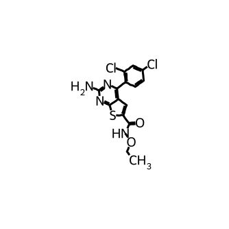 CCONC(=O)c1cc2c(-c3ccc(Cl)cc3Cl)nc(N)nc2s1